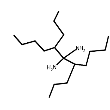 CCCCC(CCC)C(N)(N)C(CCC)CCCC